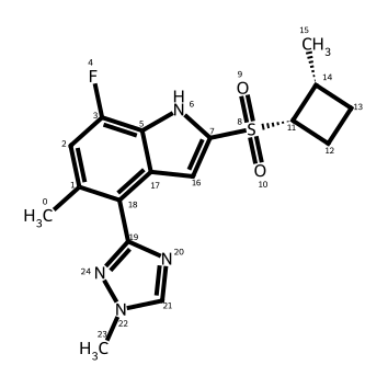 Cc1cc(F)c2[nH]c(S(=O)(=O)[C@H]3CC[C@H]3C)cc2c1-c1ncn(C)n1